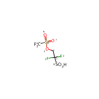 O=S(=O)(O)C(F)(F)COS(=O)(=O)C(F)(F)F